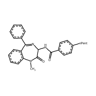 CCCCCc1ccc(C(=O)NC2N=C(c3ccccc3)c3ccccc3N(C)C2=O)cc1